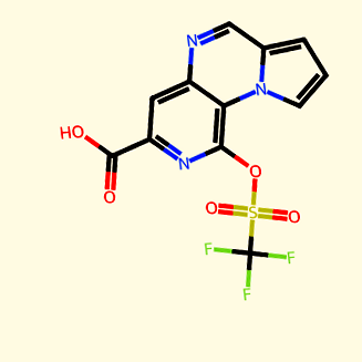 O=C(O)c1cc2ncc3cccn3c2c(OS(=O)(=O)C(F)(F)F)n1